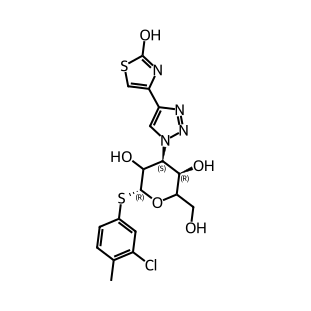 Cc1ccc(S[C@H]2OC(CO)[C@H](O)[C@H](n3cc(-c4csc(O)n4)nn3)C2O)cc1Cl